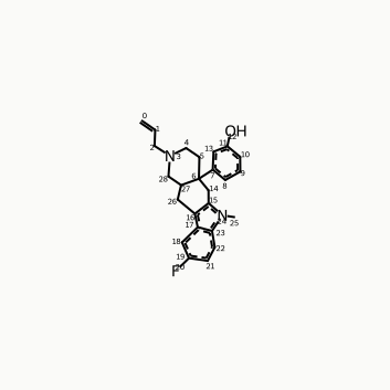 C=CCN1CCC2(c3cccc(O)c3)Cc3c(c4cc(F)ccc4n3C)CC2C1